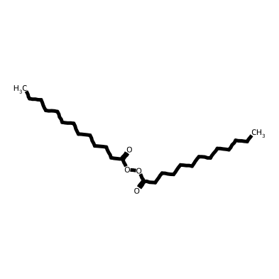 CCCCCCCCCCCCC(=O)OOC(=O)CCCCCCCCCCCC